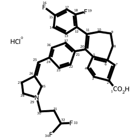 Cl.O=C(O)c1ccc2c(c1)CCCC(c1ccc(F)cc1F)=C2c1ccc(C=C2CCN(CCC(F)F)C2)cc1